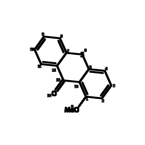 COc1cccc2sc3ccccc3c(=O)c12